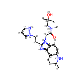 C[C@H]1CCc2c(ccc3c2nc(CCn2cccn2)n3CC(=O)N(C)CC(C)(C)O)N1